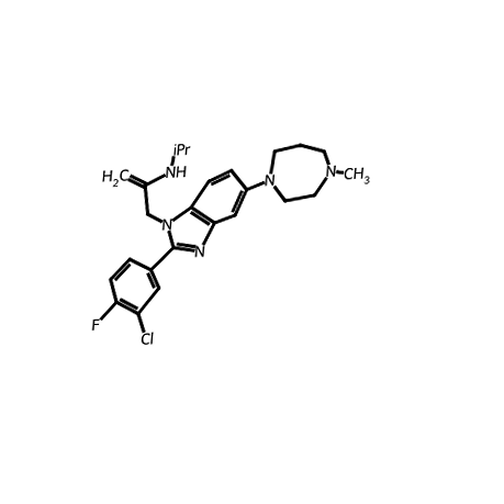 C=C(Cn1c(-c2ccc(F)c(Cl)c2)nc2cc(N3CCCN(C)CC3)ccc21)NC(C)C